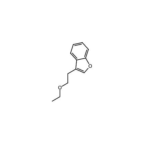 CCOCCc1coc2ccccc12